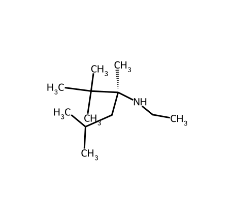 CCN[C@@](C)(CC(C)C)C(C)(C)C